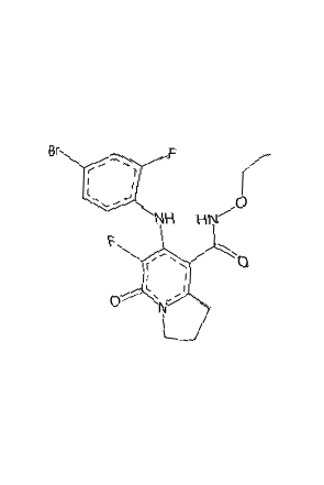 CCONC(=O)c1c(Nc2ccc(Br)cc2F)c(F)c(=O)n2c1CCC2